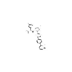 Cc1cc([C@H](C(=O)N2C[C@H](O)C[C@H]2C2=NC(=O)[C@](C)(c3ccc(-c4cccc(=O)n4C)cc3)N2)C(C)C)on1